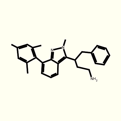 Cc1cc(C)c(-c2cccc3c(C(CCN)Cc4ccccc4)n(C)nc23)c(C)c1